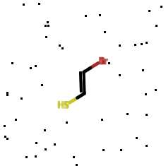 SC=CBr